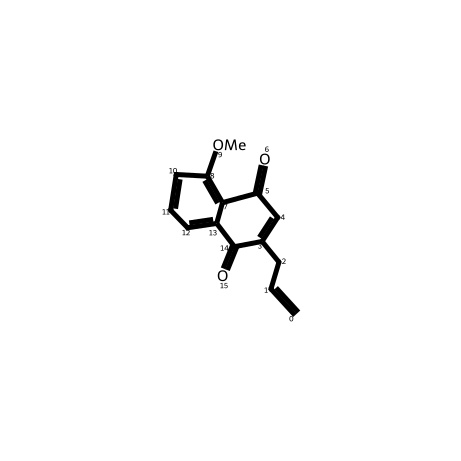 C=CCC1=CC(=O)c2c(OC)cccc2C1=O